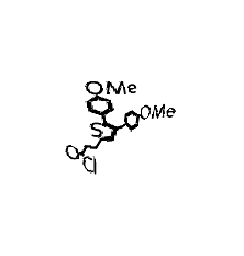 COc1ccc(-c2cc(CCC(=O)Cl)sc2-c2ccc(OC)cc2)cc1